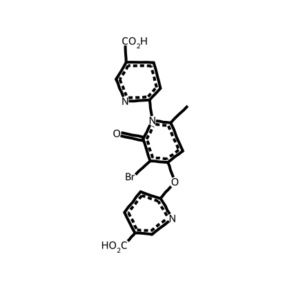 Cc1cc(Oc2ccc(C(=O)O)cn2)c(Br)c(=O)n1-c1ccc(C(=O)O)cn1